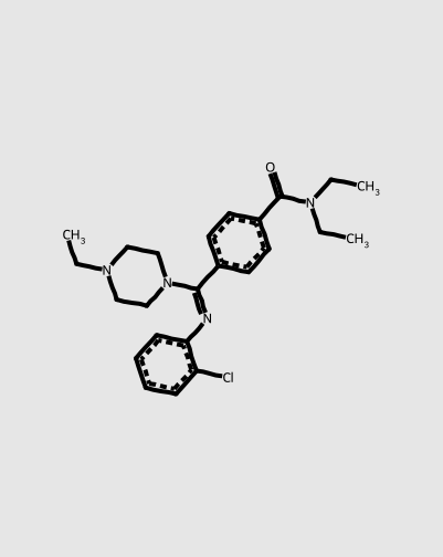 CCN1CCN(/C(=N\c2ccccc2Cl)c2ccc(C(=O)N(CC)CC)cc2)CC1